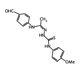 COc1ccc(NC(=S)NN=C(C)Nc2ccc(C=O)cc2)cc1